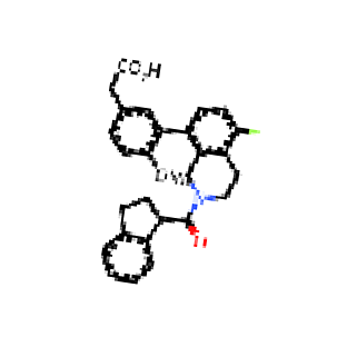 COc1ccc(CC(=O)O)cc1-c1ccc(F)c2c1CN(C(=O)C1CCc3ccccc31)CC2